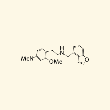 CNc1ccc(CCNCc2cccc3occc23)c(OC)c1